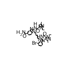 CCn1nc(C)cc1C(=O)Nc1nc2cc(C(N)=O)ccc2n1CC=CCn1c(NC(=O)c2cc(C)nn2CC)nc2cccc(Br)c21